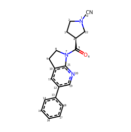 N#CN1CC[C@H](C(=O)N2CCc3cc(-c4ccccc4)cnc32)C1